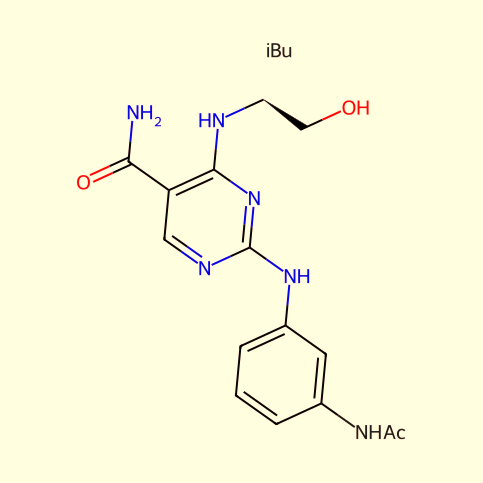 CC[C@H](C)[C@@H](CO)Nc1nc(Nc2cccc(NC(C)=O)c2)ncc1C(N)=O